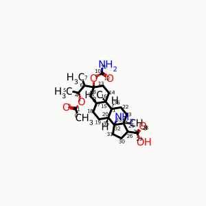 CC(=O)OC(C)C(C)C1(OC(N)=O)CC[C@@]2(C)C(CC[C@@H]3[C@@H]2CC[C@]2(C)C(C(=O)O)CCC32N)C1